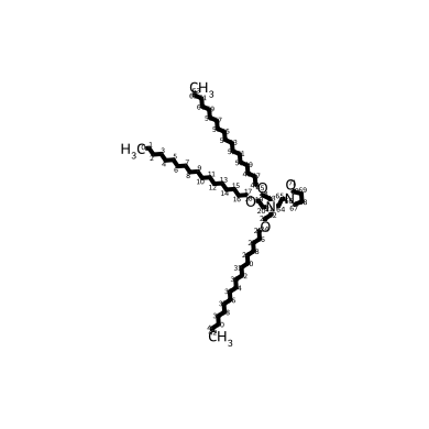 CCCCCCCCCCCCCCCCCCOCC[N+](CCOCCCCCCCCCCCCCCCCCC)(CCOCCCCCCCCCCCCCCCCCC)CCN1CCCC1=O